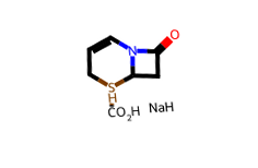 O=C1CC2N1C=CC[SH]2C(=O)O.[NaH]